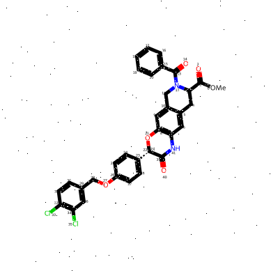 COC(=O)C1Cc2cc3c(cc2CN1C(=O)c1ccccc1)O[C@@H](c1ccc(OCc2ccc(Cl)c(Cl)c2)cc1)C(=O)N3